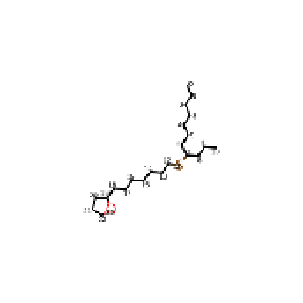 CCCCCCCC(CCC)SCCCCCCCC1CCCO1